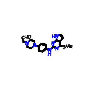 CSc1nc(Nc2ccc(N3CCN(CC=O)CC3)cc2)nc2[nH]ccc12